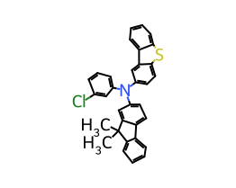 CC1(C)c2ccccc2-c2ccc(N(c3cccc(Cl)c3)c3ccc4sc5ccccc5c4c3)cc21